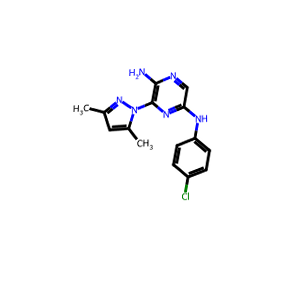 Cc1cc(C)n(-c2nc(Nc3ccc(Cl)cc3)cnc2N)n1